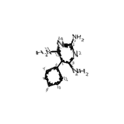 Nc1nc(N)c(-c2ccccc2)c(N)n1